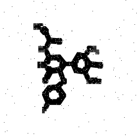 C#CC(=O)Nc1cc(-c2cc(NC)c(=O)n(C)c2)c(Oc2ccc(F)cc2)c(=O)[nH]1